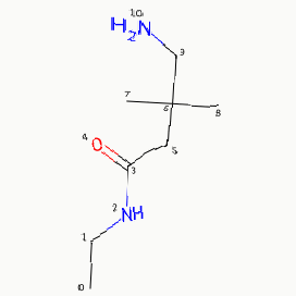 CCNC(=O)CC(C)(C)CN